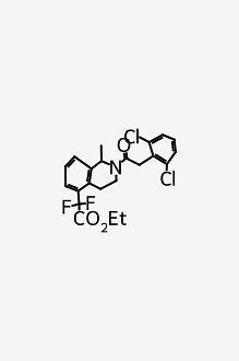 CCOC(=O)C(F)(F)c1cccc2c1CCN(C(=O)Cc1c(Cl)cccc1Cl)C2C